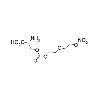 NC(COC(=O)OCCOCCO[N+](=O)[O-])C(=O)O